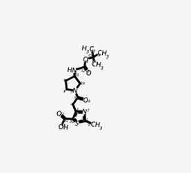 Cc1nc(CC(=O)N2CCC(NC(=O)OC(C)(C)C)C2)c(C(=O)O)s1